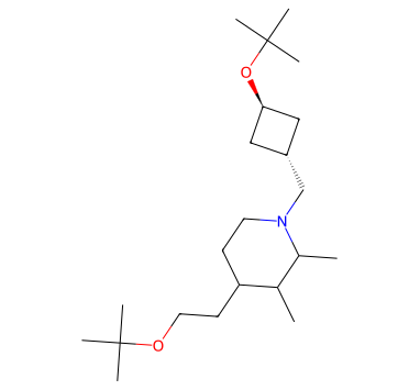 CC1C(CCOC(C)(C)C)CCN(C[C@H]2C[C@H](OC(C)(C)C)C2)C1C